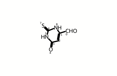 O=Cc1cc(=O)[nH]c(=S)[nH]1